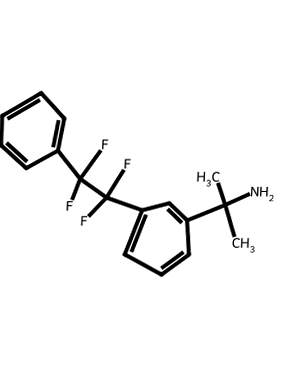 CC(C)(N)c1cccc(C(F)(F)C(F)(F)c2ccccc2)c1